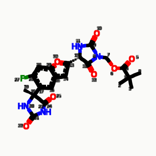 CC(C)(C)C(=O)OCN1C(=O)N[C@@H](c2cc3cc([C@@]4(C)NC(=O)NC4=O)c(F)cc3o2)C1=O